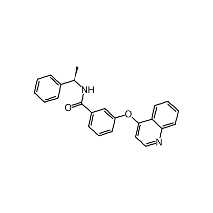 C[C@@H](NC(=O)c1cccc(Oc2ccnc3ccccc23)c1)c1ccccc1